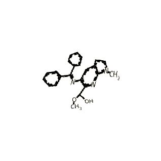 COC(O)c1nc2c(ccn2C)cc1N=C(c1ccccc1)c1ccccc1